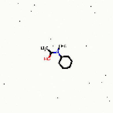 O=CN(C1CCCCC1)C(O)C(Cl)(Cl)Cl